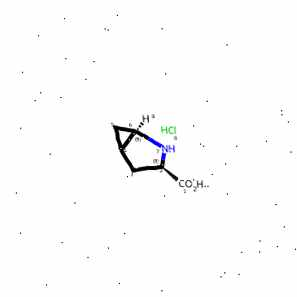 Cl.O=C(O)[C@H]1CC2C[C@H]2N1